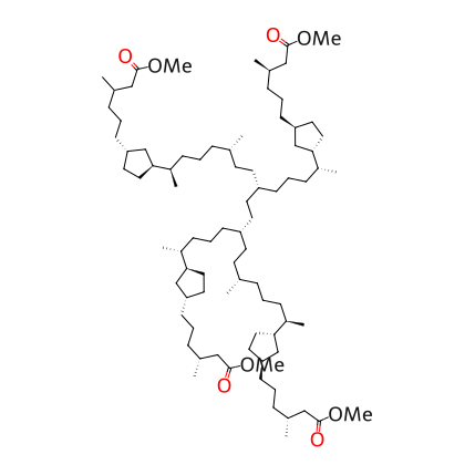 COC(=O)CC(C)CCC[C@H]1CC[C@H]([C@H](C)CCC[C@H](C)CC[C@H](CCC[C@@H](C)[C@H]2CC[C@H](CCC[C@@H](C)CC(=O)OC)C2)CC[C@@H](CCC[C@@H](C)[C@H]2CC[C@H](CCC[C@@H](C)CC(=O)OC)C2)CC[C@@H](C)CCC[C@@H](C)[C@H]2CC[C@H](CCC[C@@H](C)CC(=O)OC)C2)C1